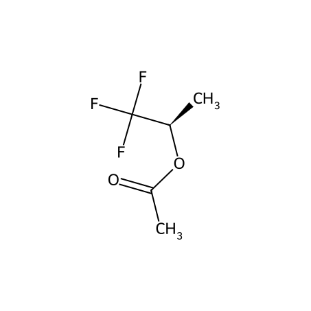 CC(=O)O[C@H](C)C(F)(F)F